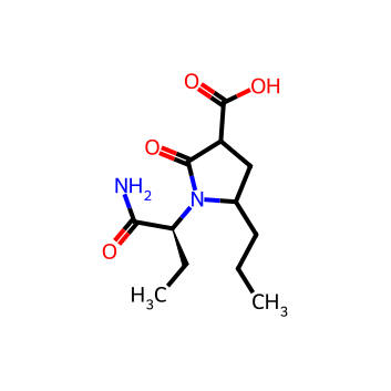 CCCC1CC(C(=O)O)C(=O)N1[C@@H](CC)C(N)=O